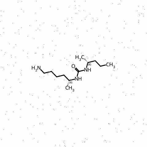 CCC[C@@H](C)NC(=O)N[C@H](C)CCCCN